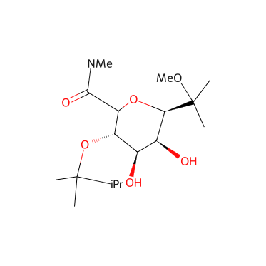 CNC(=O)C1O[C@@H](C(C)(C)OC)[C@@H](O)[C@@H](O)[C@@H]1OC(C)(C)C(C)C